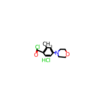 Cc1cc(N2CCOCC2)ccc1C(=O)Cl.Cl